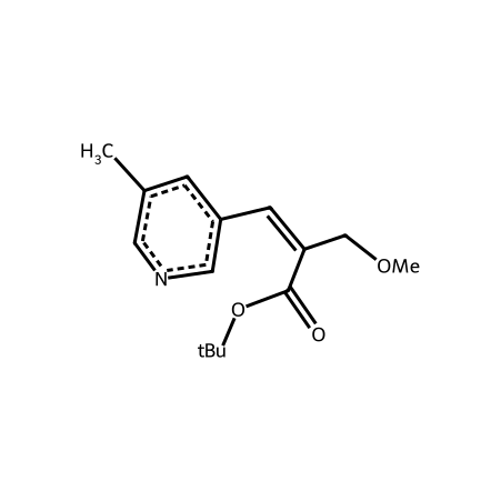 COCC(=Cc1cncc(C)c1)C(=O)OC(C)(C)C